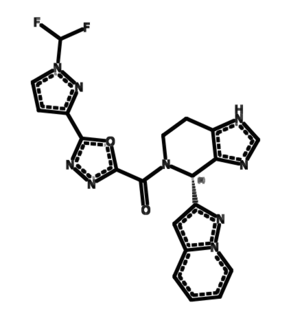 O=C(c1nnc(-c2ccn(C(F)F)n2)o1)N1CCc2[nH]cnc2[C@@H]1c1cc2ccccn2n1